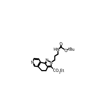 CCOC(=O)c1c2c(nn1CCCNC(=O)OC(C)(C)C)-c1ccncc1CC2